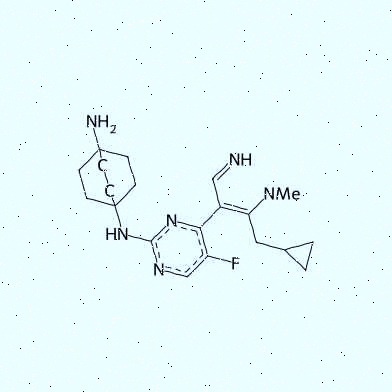 CN/C(CC1CC1)=C(\C=N)c1nc(NC23CCC(N)(CC2)CC3)ncc1F